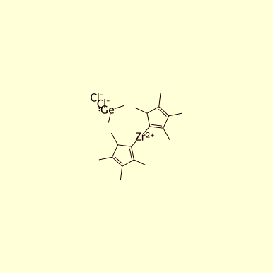 CC1=C(C)C(C)[C]([Zr+2][C]2=C(C)C(C)=C(C)C2C)=C1C.[CH3][Ge][CH3].[Cl-].[Cl-]